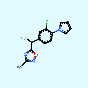 Cc1noc(C(C)c2ccc(-n3cccc3)c(Cl)c2)n1